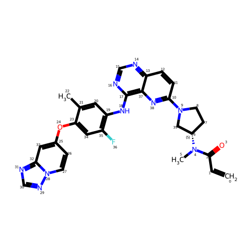 C=CC(=O)N(C)[C@H]1CCN(c2ccc3ncnc(Nc4cc(C)c(Oc5ccn6ncnc6c5)cc4F)c3n2)C1